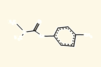 Cc1ccc(NC(=O)N(C)C)cc1